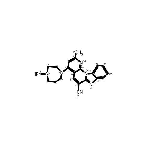 Cc1cc(N2CCCN(C(C)C)CC2)c2cc(C#N)c3nc4ccccc4n3c2n1